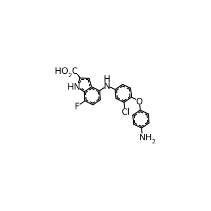 Nc1ccc(Oc2ccc(Nc3ccc(F)c4[nH]c(C(=O)O)cc34)cc2Cl)cc1